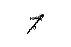 C=C(C)C(=O)ONC(=O)C(CCCO)CCCCCCC(C=O)CCC=CCCCCC